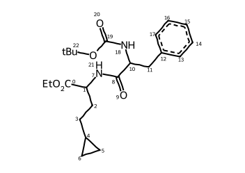 CCOC(=O)C(CCC1CC1)NC(=O)C(Cc1ccccc1)NC(=O)OC(C)(C)C